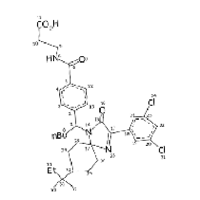 CCCCC(c1ccc(C(=O)NCCC(=O)O)cc1)N1C(=O)C(c2cc(Cl)cc(Cl)c2)=NC12CCC(C(C)(C)CC)CC2